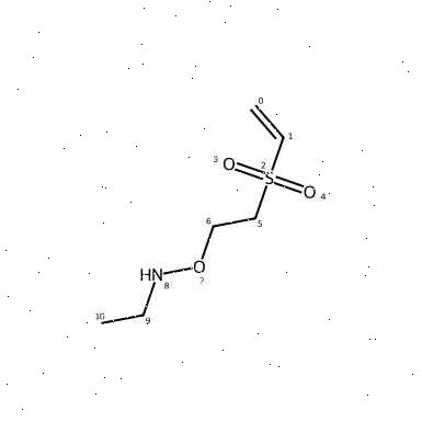 C=CS(=O)(=O)CCONCC